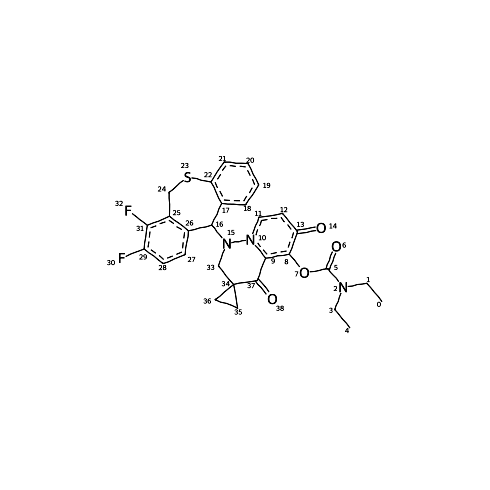 CCN(CC)C(=O)Oc1c2n(ccc1=O)N(C1c3ccccc3SCc3c1ccc(F)c3F)CC1(CC1)C2=O